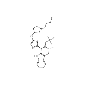 C[C@@H]1Cc2c([nH]c3ccccc23)[C@@H](c2ncc(O[C@H]3CCN(CCCF)C3)s2)N1CC(C)(C)F